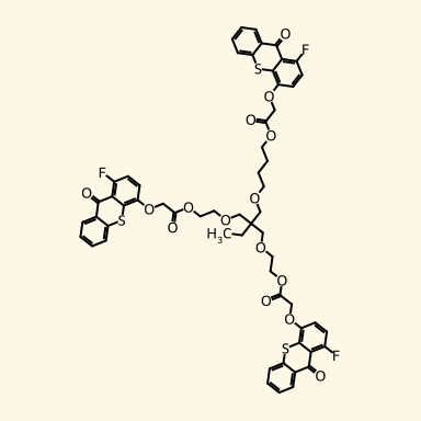 CCC(COCCCCOC(=O)COc1ccc(F)c2c(=O)c3ccccc3sc12)(COCCOC(=O)COc1ccc(F)c2c(=O)c3ccccc3sc12)COCCOC(=O)COc1ccc(F)c2c(=O)c3ccccc3sc12